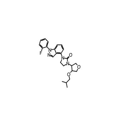 CC(C)COC1COCC1N1CCN(c2cccc3c2cnn3-c2ccccc2F)C1=O